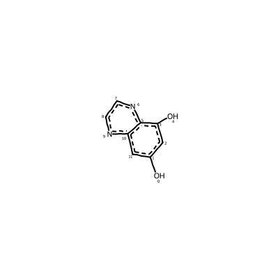 Oc1cc(O)c2nccnc2c1